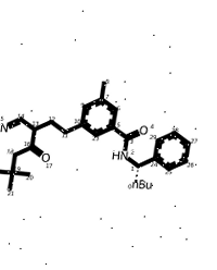 CCCC[C@H](NC(=O)c1cc(C)cc(CCC(C=N)C(=O)CC(C)(C)C(C)C)c1)c1ccccc1